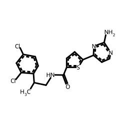 CC(CNC(=O)c1ccc(-c2ccnc(N)n2)s1)c1ccc(Cl)cc1Cl